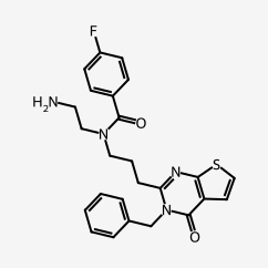 NCCN(CCCc1nc2sccc2c(=O)n1Cc1ccccc1)C(=O)c1ccc(F)cc1